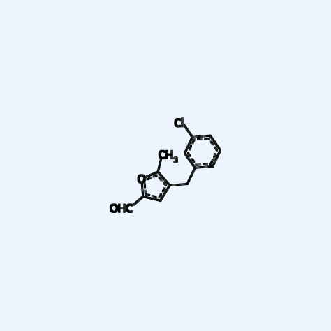 Cc1oc(C=O)cc1Cc1cccc(Cl)c1